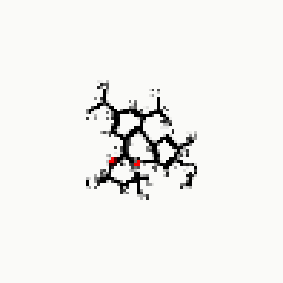 COc1cc(P2CCC(=O)CC2(C)C)c(-c2c(C(C)C)cc(C(C)C)cc2C(C)C)cc1C